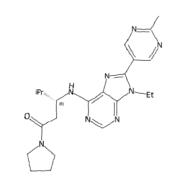 CCn1c(-c2cnc(C)nc2)nc2c(N[C@H](CC(=O)N3CCCC3)C(C)C)ncnc21